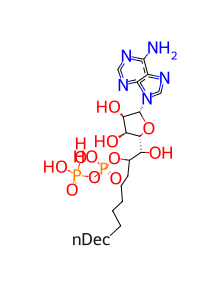 CCCCCCCCCCCCCCCC(OP(=O)(O)OP(=O)(O)O)C(O)[C@H]1O[C@@H](n2cnc3c(N)ncnc32)[C@H](O)[C@@H]1O